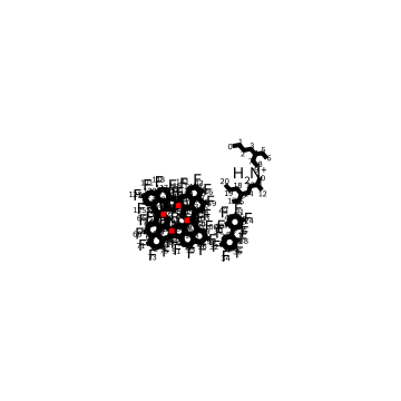 CCCCC(CC)CC[NH2+]CC(C)CCC(CC)CCC.Fc1c(F)c(F)c(-c2c(F)c(F)c(F)c(F)c2F)c(F)c1F.Fc1c(F)c2c(F)c(F)c3c(F)c(F)c([B-](c4c(F)c(F)c5c(F)c(F)c6c(F)c(F)c(F)c7c(F)c(F)c4c5c67)(c4c(F)c(F)c5c(F)c(F)c6c(F)c(F)c(F)c7c(F)c(F)c4c5c67)c4c(F)c(F)c5c(F)c(F)c6c(F)c(F)c(F)c7c(F)c(F)c4c5c67)c4c(F)c(F)c(c1F)c2c34